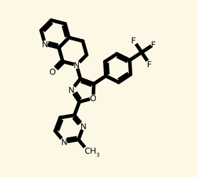 Cc1nccc(-c2nc(N3CCc4cccnc4C3=O)c(-c3ccc(C(F)(F)F)cc3)o2)n1